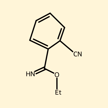 CCOC(=N)c1ccccc1C#N